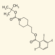 CC(C)(C)OC(=O)N1CCC(CCOC(=O)c2c(I)ccc(I)c2I)CC1